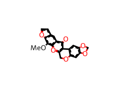 COc1c2occc2cc2c(=O)c3c(oc12)COc1cc2c(cc1-3)OCO2